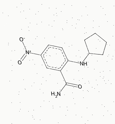 NC(=O)c1cc([N+](=O)[O-])ccc1NC1CCCC1